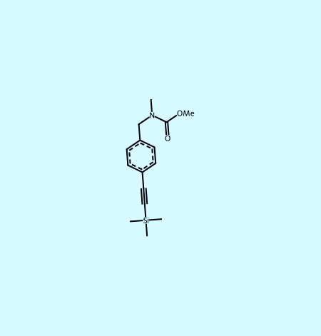 COC(=O)N(C)Cc1ccc(C#C[Si](C)(C)C)cc1